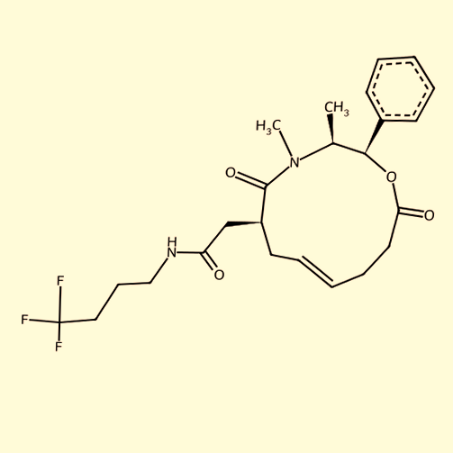 C[C@H]1[C@@H](c2ccccc2)OC(=O)CC/C=C/C[C@@H](CC(=O)NCCCC(F)(F)F)C(=O)N1C